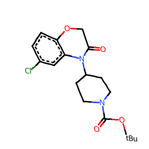 CC(C)(C)OC(=O)N1CCC(N2C(=O)COc3ccc(Cl)cc32)CC1